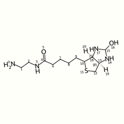 NCCNC(=O)CCCCC1SC[C@@H]2NC(O)N[C@H]12